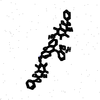 Cc1c(C)c(NC(=O)Oc2ccccc2)c(C)c(C)c1/N=c1\ccc2c(-c3ccccc3S(=O)(=O)O)c3ccc(Nc4c(C)c(C)c(NC(=O)Oc5ccccc5)c(C)c4C)cc3oc-2c1